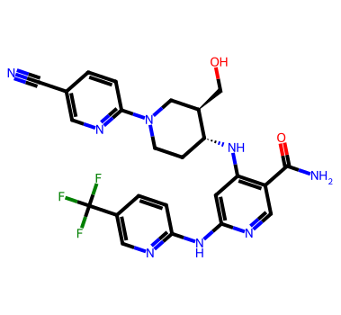 N#Cc1ccc(N2CC[C@@H](Nc3cc(Nc4ccc(C(F)(F)F)cn4)ncc3C(N)=O)[C@H](CO)C2)nc1